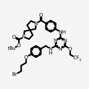 CC(C)(C)OC(=O)N1CCC2(CCN(C(=O)c3ccc(Nc4nc(NCc5ccc(OCCCBr)cc5)nc(OCC(F)(F)F)n4)cc3)C2)C1